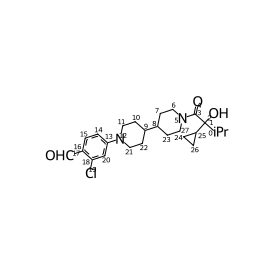 CC(C)C(O)(C(=O)N1CCC(C2CCN(c3ccc(C=O)c(Cl)c3)CC2)CC1)C1CC1